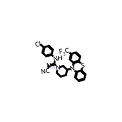 N#C/N=C(/Nc1ccc(Cl)cc1)N1CCCC(N2c3ccccc3Sc3ccc(C(F)(F)F)cc32)C1